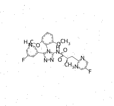 COc1cccc(OC)c1-n1c(NS(=O)(=O)[C@H](C)Cc2ncc(F)cn2)nnc1-c1cncc(F)c1